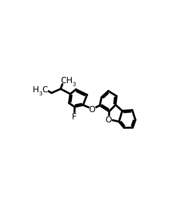 CCC(C)c1ccc(Oc2cccc3c2oc2ccccc23)c(F)c1